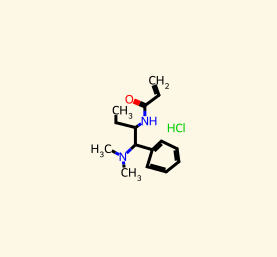 C=CC(=O)NC(CC)C(c1ccccc1)N(C)C.Cl